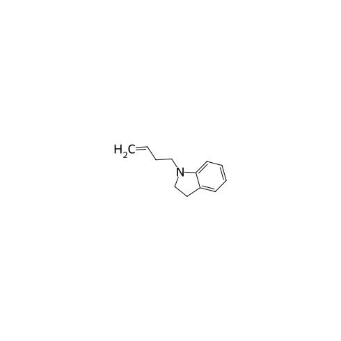 C=CCCN1CCc2ccccc21